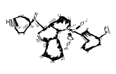 O=S(=O)(c1cccc(F)c1)n1ccc2c(N[C@H]3CCNC3)nc3ccccc3c21